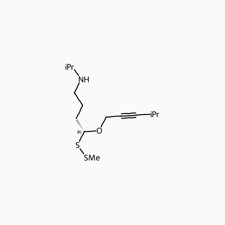 CSS[C@H](CCCNC(C)C)OCC#CC(C)C